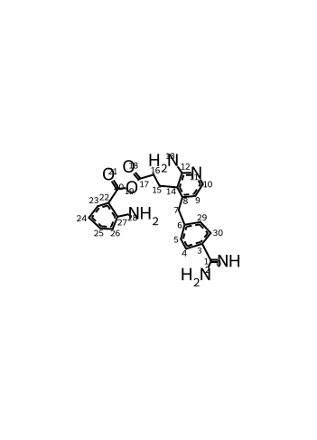 N=C(N)c1ccc(Cc2ccnc(N)c2CCC(=O)OC(=O)c2ccccc2N)cc1